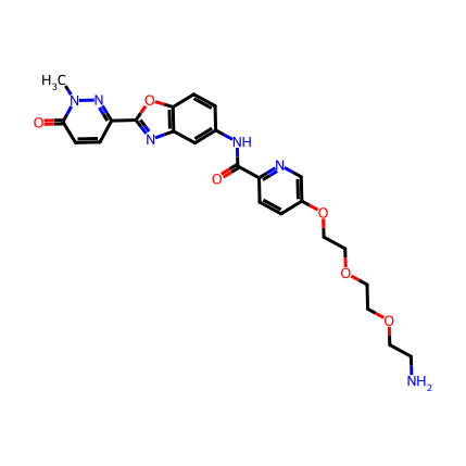 Cn1nc(-c2nc3cc(NC(=O)c4ccc(OCCOCCOCCN)cn4)ccc3o2)ccc1=O